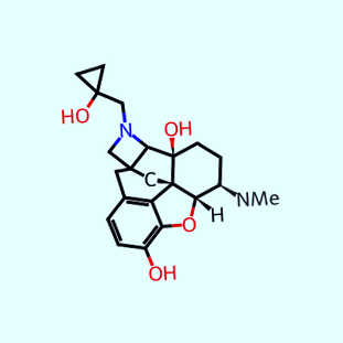 CN[C@@H]1CC[C@@]2(O)C3N(CC4(O)CC4)CC34Cc3ccc(O)c5c3[C@@]2(C4)[C@H]1O5